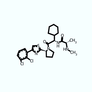 CN[C@@H](C)C(=O)N[C@H](C(=O)N1CCC[C@H]1c1nc(-c2cccc(Cl)c2Cl)cs1)C1CCCCC1